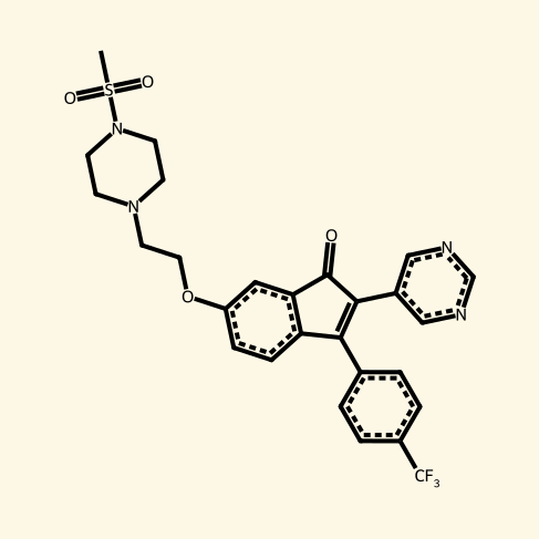 CS(=O)(=O)N1CCN(CCOc2ccc3c(c2)C(=O)C(c2cncnc2)=C3c2ccc(C(F)(F)F)cc2)CC1